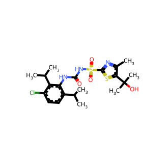 Cc1nc(S(=O)(=O)NC(=O)Nc2c(C(C)C)ccc(Cl)c2C(C)C)sc1C(C)(C)O